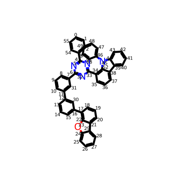 c1ccc(-c2nc(-c3cccc(-c4cccc(-c5cccc6c5oc5ccccc56)c4)c3)nc(-c3cccc4c5ccccc5n(-c5ccccc5)c34)n2)cc1